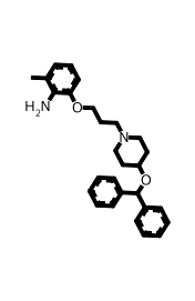 Cc1cccc(OCCCN2CCC(OC(c3ccccc3)c3ccccc3)CC2)c1N